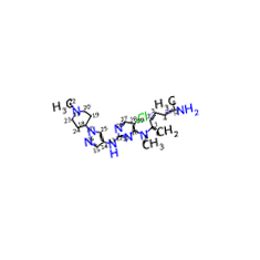 C=C(/C=C\C=C(/C)N)N(C)c1nc(Nc2cnn(C3CCN(C)CC3)c2)ncc1Cl